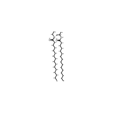 CCCCCCCCCCCCCCCC(=O)OC(C)C.CCCCCCCCCCCCCCCC(=O)OCC